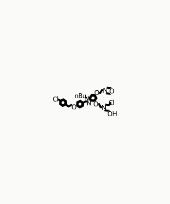 CCCCn1c(-c2ccc(OCCc3ccc(Cl)cc3)cc2)nc2c(OCCN(CCO)CCCl)cc(OCCN3CCOCC3)cc21